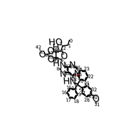 CC[C@H](O)[C@H]1O[C@@H](n2cnc3c(NC(c4ccccc4)(c4ccccc4)c4ccc(OC)cc4)ncnc32)[C@@H]2OC(OC)O[C@@H]21